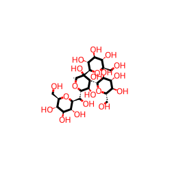 OC[C@@H]1O[C@H](C2(O)[C@@H](O)[C@H](C(O)[C@@H]3O[C@H](CO)[C@@H](O)[C@H](O)[C@H]3O)O[CH]C2(O)[C@@H]2O[C@H](CO)[C@@H](O)[C@H](O)[C@H]2O)[C@@H](O)[C@H](O)[C@H]1O